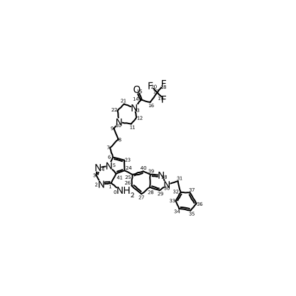 Nc1ncnn2c(CCCN3CCN(C(=O)CC(F)(F)F)CC3)cc(-c3ccc4cn(Cc5ccccc5)nc4c3)c12